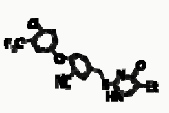 CCc1c[nH]c(SCc2ccc(Oc3ccc(Cl)c(C(F)(F)F)c3)c(C#N)c2)nc1=O